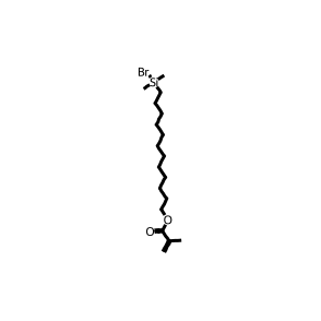 C=C(C)C(=O)OCCCCCCCCCCCC[Si](C)(C)Br